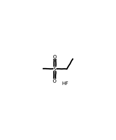 CCS(C)(=O)=O.F